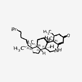 CC(C)CCC[C@@H](C)[C@H]1CC[C@H]2[C@@H]3CNC4=CC(=O)CC(C)[C@]4(C)[C@H]3CC[C@]12C